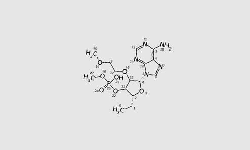 CC[C@H]1O[C@@H](n2cnc3c(N)ncnc32)C(OCCOC)C1OP(=O)(O)OC